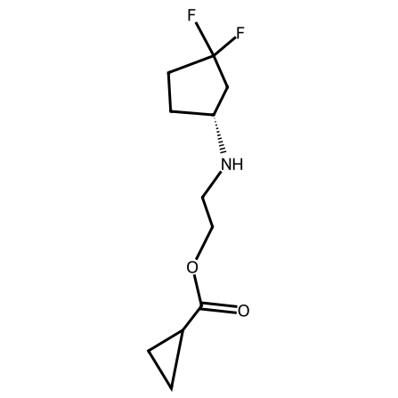 O=C(OCCN[C@@H]1CCC(F)(F)C1)C1CC1